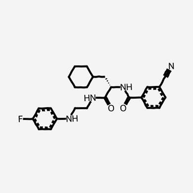 N#Cc1cccc(C(=O)N[C@@H](CC2CCCCC2)C(=O)NCCNc2ccc(F)cc2)c1